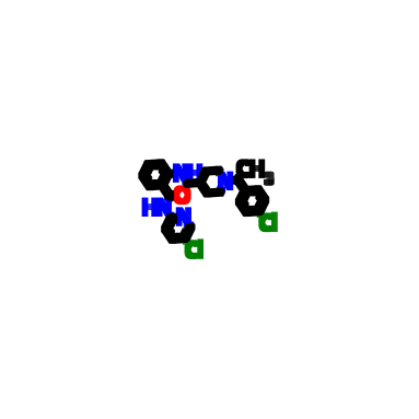 CC(c1ccc(Cl)cc1)N1CCC(CNc2ccccc2C(=O)Nc2ccc(Cl)cn2)CC1